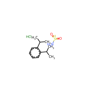 CC(C)c1ccccc1C(C)C.Cl.N[SH](=O)=O